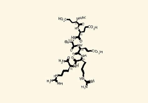 CC[C@H](C)[C@H](NC(=O)[C@H](CCC(=O)O)NC(=O)[C@H](CCC(=O)O)NC(C)=O)C(=O)N[C@@H](CCC(=O)O)C(=O)N[C@@H](CCCNC(=N)N)C(=O)N[C@@H](CCCNC(=N)N)C(N)=O